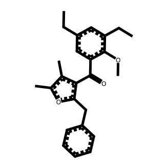 CCc1cc(CC)c(OC)c(C(=O)c2c(Cc3ccccc3)oc(C)c2C)c1